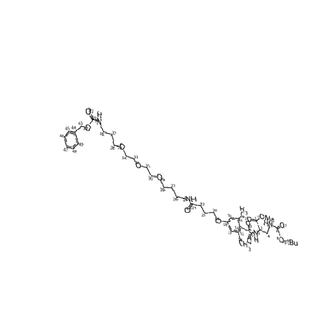 COC(=O)C(CNC(=O)OC(C)(C)C)NS(=O)(=O)c1c(C)cc(OCCCC(=O)NCCCOCCOCCOCCCNC(=O)OCc2ccccc2)cc1C